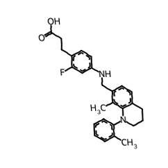 Cc1ccccc1N1CCCc2ccc(CNc3ccc(CCC(=O)O)c(F)c3)c(C)c21